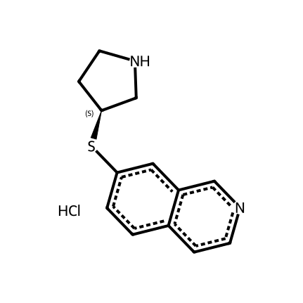 Cl.c1cc2ccc(S[C@H]3CCNC3)cc2cn1